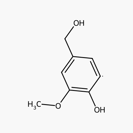 COc1cc(CO)c[c]c1O